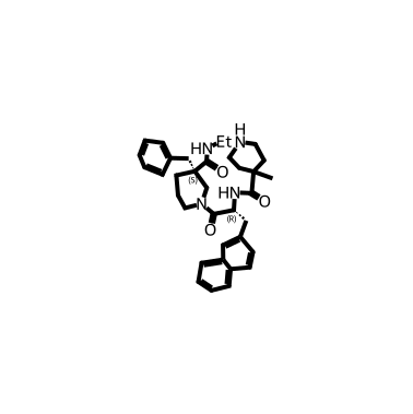 CCNC(=O)[C@]1(Cc2ccccc2)CCCN(C(=O)[C@@H](Cc2ccc3ccccc3c2)NC(=O)C2(C)CCNCC2)C1